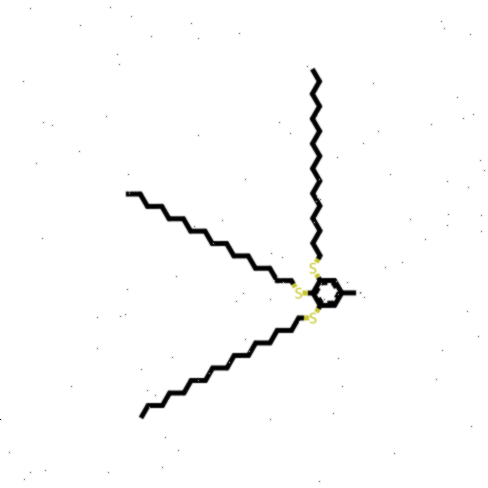 [CH2]c1cc(SCCCCCCCCCCCCCCCC)c(SCCCCCCCCCCCCCCCC)c(SCCCCCCCCCCCCCCCC)c1